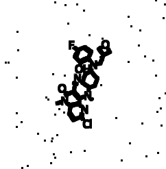 CN(c1c(C#N)c(=O)n(C)c2ccc(Cl)nc12)C1CCC(N(CC2COC2)c2ccc(F)cc2O)CC1